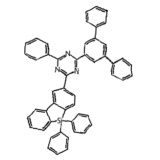 c1ccc(-c2cc(-c3ccccc3)cc(-c3nc(-c4ccccc4)nc(-c4ccc5c(c4)-c4ccccc4[Si]5(c4ccccc4)c4ccccc4)n3)c2)cc1